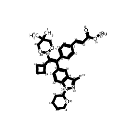 CC1(C)COB(/C(=C(\c2ccc(/C=C/C(=O)OC(C)(C)C)cc2)c2ccc3c(c2)c(F)nn3C2CCCCO2)C2CCC2)OC1